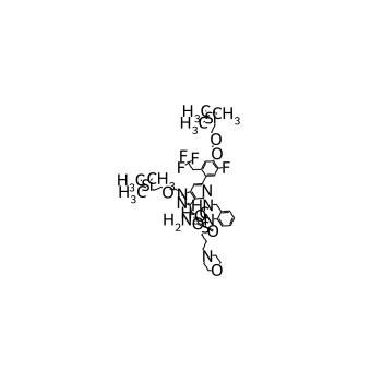 CN(c1ccccc1CNc1nc(-c2cc(F)c(OCOCC[Si](C)(C)C)cc2CC(F)(F)F)cc2c1c(C(N)=O)nn2COCC[Si](C)(C)C)S(=O)(=O)CCCN1CCOCC1